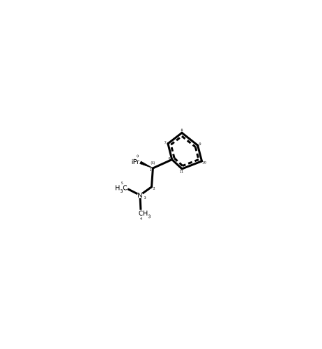 CC(C)[C@H](CN(C)C)c1ccccc1